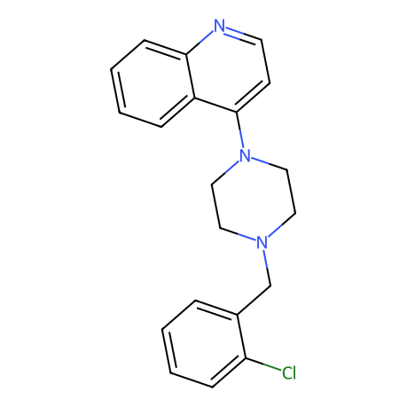 Clc1ccccc1CN1CCN(c2ccnc3ccccc23)CC1